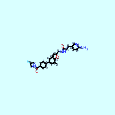 Cc1cc(-c2ccc(C(=O)N3CC(F)C3)cc2)cc2cc(CNC(=O)/C=C/c3ccc(N)nc3)oc12